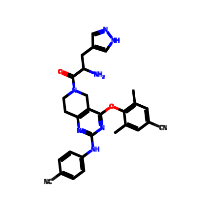 Cc1cc(C#N)cc(C)c1Oc1nc(Nc2ccc(C#N)cc2)nc2c1CN(C(=O)C(N)Cc1cn[nH]c1)CC2